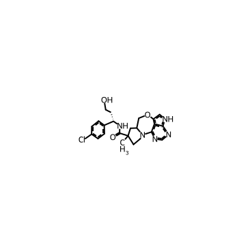 CC1(C(=O)N[C@@H](CCO)c2ccc(Cl)cc2)CCN2c3ncnc4[nH]cc(c34)OCC2C1